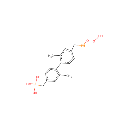 Cc1cc(CPOOO)ccc1-c1ccc(CP(=O)(O)O)cc1C